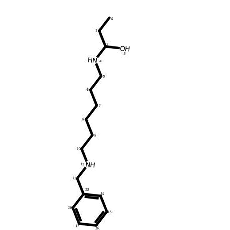 CCC(O)NCCCCCCNCc1ccccc1